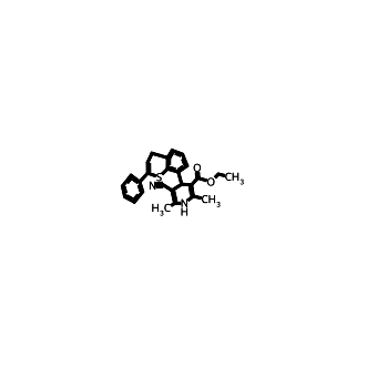 CCOC(=O)C1=C(C)NC(C)=C(C#N)C1c1cccc2c1SC(c1ccccc1)=CC2